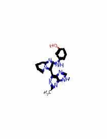 Cc1nc(-c2c(Nc3cccc(O)c3)nc3ccccn23)c2nc[nH]c2n1